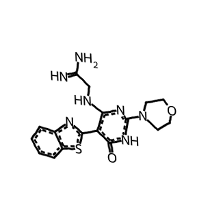 N=C(N)CNc1nc(N2CCOCC2)[nH]c(=O)c1-c1nc2ccccc2s1